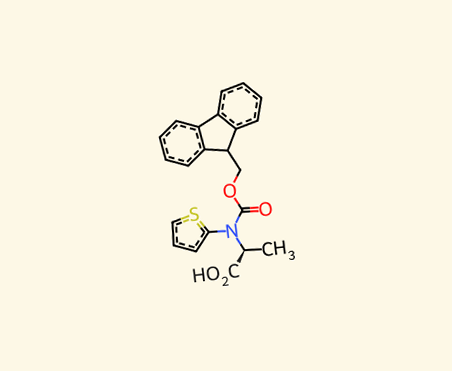 C[C@@H](C(=O)O)N(C(=O)OCC1c2ccccc2-c2ccccc21)c1cccs1